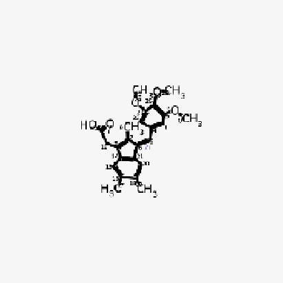 COc1cc(/C=C2\C(C)=C(CC(=O)O)c3cc(C)c(C)cc32)cc(OC)c1OC